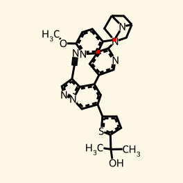 COc1ccc(CN2C3CC2CN(c2ccc(-c4cc(-c5ccc(C(C)(C)O)s5)cn5ncc(C#N)c45)cn2)C3)cn1